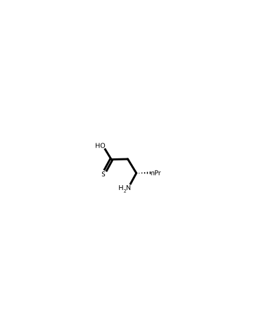 CCC[C@H](N)CC(O)=S